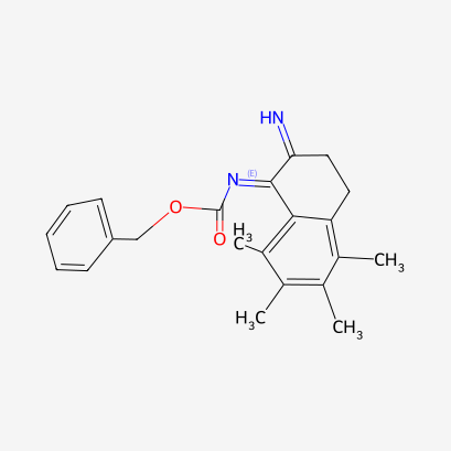 Cc1c(C)c(C)c2c(c1C)CCC(=N)/C2=N/C(=O)OCc1ccccc1